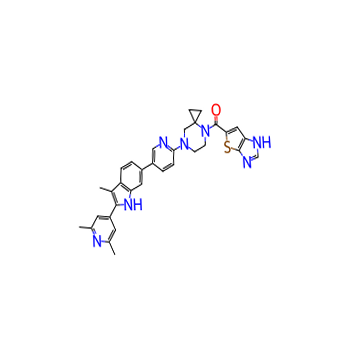 Cc1cc(-c2[nH]c3cc(-c4ccc(N5CCN(C(=O)c6cc7[nH]cnc7s6)C6(CC6)C5)nc4)ccc3c2C)cc(C)n1